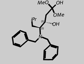 COC(O)(C[C@H](O)[C@H](CC(C)C)N(Cc1ccccc1)Cc1ccccc1)OC